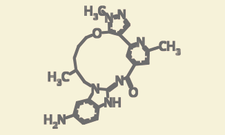 Cc1cc2cc(n1)-c1cnn(C)c1OCCCC(C)CN1/C(=N/C2=O)Nc2ccc(N)cc21